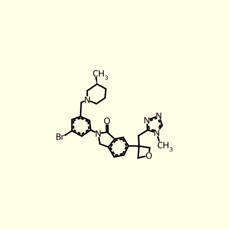 C[C@H]1CCCN(Cc2cc(Br)cc(N3Cc4ccc(C5(Cc6nncn6C)COC5)cc4C3=O)c2)C1